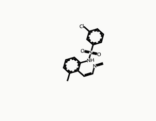 C=N/C=C\c1c(C)cccc1NS(=O)(=O)c1cccc(Cl)c1